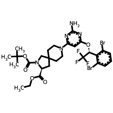 CCOC(=O)[C@@H]1CC2(CCN(c3cc(O[C@H](c4c(Br)cccc4Br)C(F)(F)F)nc(N)n3)CC2)CN1C(=O)OC(C)(C)C